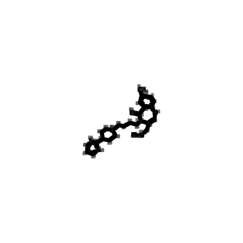 COCC1=COc2ccc(C)cc2C(=O)N1CCCCN1CCC(c2ncccn2)CC1